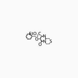 CCOC(=O)c1nc2n(c(=O)c1OCc1ccccc1)CCSC2